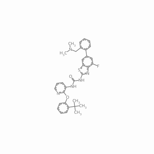 CN(C)Cc1ccccc1-c1cc(F)c2nc(NC(=O)Nc3cccnc3Oc3ccccc3C(C)(C)C)sc2c1